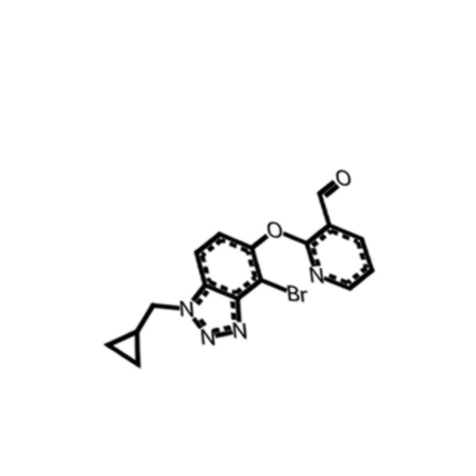 O=Cc1cccnc1Oc1ccc2c(nnn2CC2CC2)c1Br